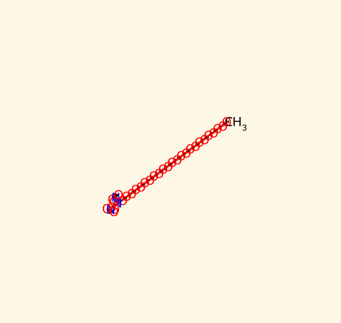 COCCOCCOCCOCCOCCOCCOCCOCCOCCOCCOCCOCCOCCOCCOCCOCCOCCOCCOCCOCCOCCOCCOCCOCCN(CCC(=O)ON1C(=O)CCC1=O)C(=O)CN1C(=O)C=CC1=O